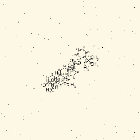 C[C@H]1C[C@H]2N(C)C(=O)CC[C@]2(C)[C@H]2CC[C@]3(C)[C@@H](C(=O)Oc4ccccc4C(C)(C)C)CC[C@H]3[C@H]12